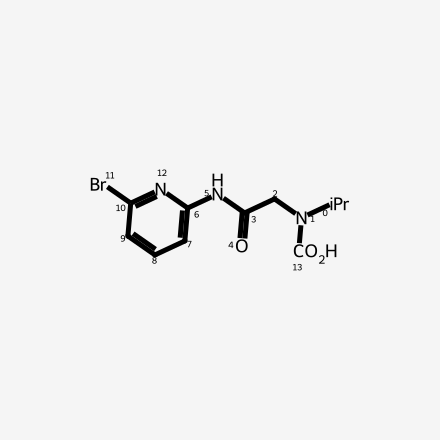 CC(C)N(CC(=O)Nc1cccc(Br)n1)C(=O)O